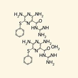 N=C(N)NC(=O)c1nc(Sc2ccccc2)c(N)nc1N.N=C(N)NC(=O)c1nc(Sc2ccccc2)c(N)nc1N.O